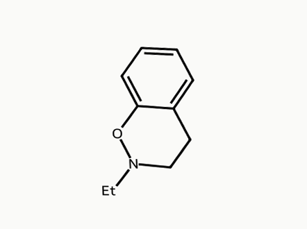 CCN1CCc2ccccc2O1